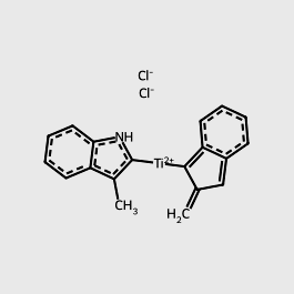 C=C1C=c2ccccc2=[C]1[Ti+2][c]1[nH]c2ccccc2c1C.[Cl-].[Cl-]